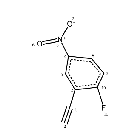 C#Cc1cc([N+](=O)[O-])ccc1F